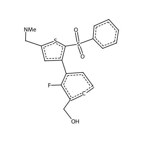 CNCc1cc(-c2cccc(CO)c2F)c(S(=O)(=O)c2ccccc2)s1